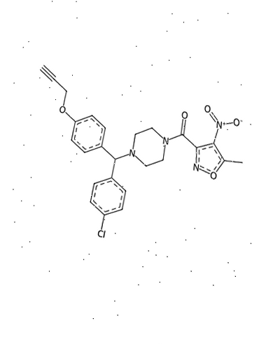 C#CCOc1ccc(C(c2ccc(Cl)cc2)N2CCN(C(=O)c3noc(C)c3[N+](=O)[O-])CC2)cc1